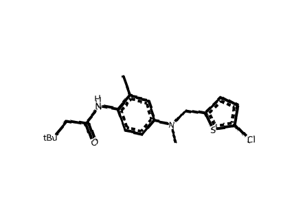 Cc1cc(N(C)Cc2ccc(Cl)s2)ccc1NC(=O)CC(C)(C)C